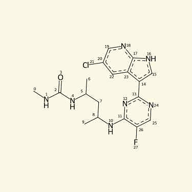 CNC(=O)NC(C)CC(C)Nc1nc(-c2c[nH]c3ncc(Cl)cc23)ncc1F